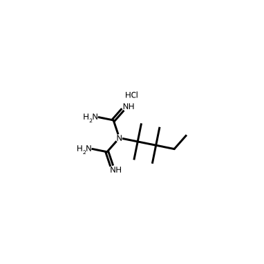 CCC(C)(C)C(C)(C)N(C(=N)N)C(=N)N.Cl